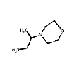 CC(CN)N1CCOCC1